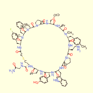 CCCC[C@H]1C(=O)N2CCC[C@@H]2C(=O)N[C@@H](COC=O)C(=O)N[C@@H](C(C)C)C(=O)N(C)[C@@H](Cc2ccc(C)cc2)C(=O)N[C@@H](CCN)C(=O)N2CCC[C@@H]2C(=O)N[C@@H](Cc2c[nH]c3ccccc23)C(=O)N[C@@H](Cc2ccc(O)cc2)C(=O)N[C@@H](CC(C)C)C(=O)N[C@H](C(=O)NCC(N)=O)CSCC(=O)N[C@@H](Cc2ccc(F)cc2)C(=O)N(C)[C@@H](Cc2ccccc2)C(=O)N1C